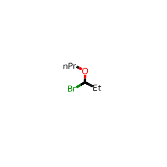 CCCOC(Br)CC